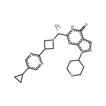 C[C@H](c1nc2c(cnn2C2CCOCC2)c(=O)[nH]1)N1CC(c2ncc(C3CC3)cn2)C1